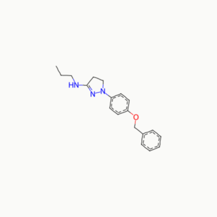 CCCNC1=NN(c2ccc(OCc3ccccc3)cc2)CC1